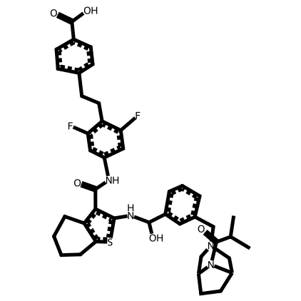 CC(C)C(=O)N1C2CCC1CN(Cc1cccc(C(O)Nc3sc4c(c3C(=O)Nc3cc(F)c(CCc5ccc(C(=O)O)cc5)c(F)c3)CCCC4)c1)C2